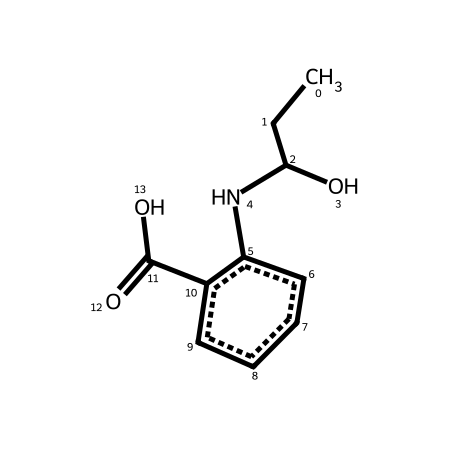 CCC(O)Nc1ccccc1C(=O)O